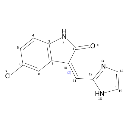 O=C1Nc2ccc(Cl)cc2/C1=C/c1ncc[nH]1